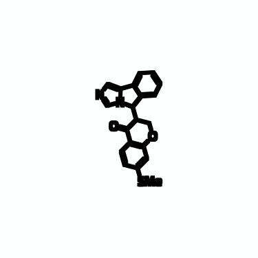 CSc1ccc2c(c1)OCC(C1c3ccccc3-c3cncn31)C2=O